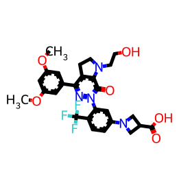 COc1cc(OC)cc(-c2nn(-c3cc(N4CC(C(=O)O)C4)ccc3C(F)(F)F)c(=O)c3c2CCN3CCO)c1